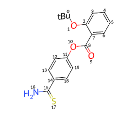 CC(C)(C)Oc1ccccc1C(=O)Oc1ccc(C(N)=S)cc1